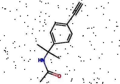 C#Cc1ccc(C(C)(C)NC(C)=O)cc1